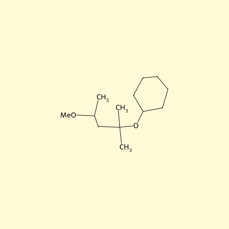 COC(C)CC(C)(C)OC1CCCCC1